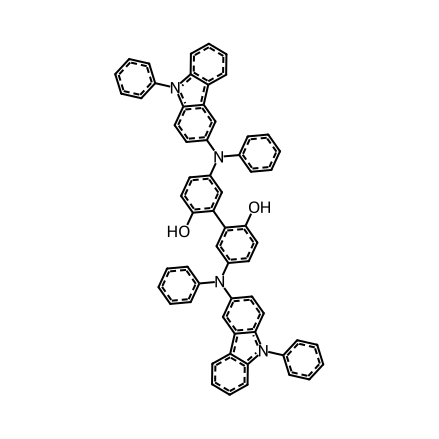 Oc1ccc(N(c2ccccc2)c2ccc3c(c2)c2ccccc2n3-c2ccccc2)cc1-c1cc(N(c2ccccc2)c2ccc3c(c2)c2ccccc2n3-c2ccccc2)ccc1O